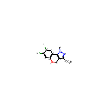 Cn1nc(C(=O)O)c2c1-c1cc(F)c(F)cc1OC2